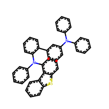 c1ccc(N(c2ccccc2)c2cccc(-c3ccccc3N(c3ccccc3)c3cccc4sc5ccccc5c34)c2)cc1